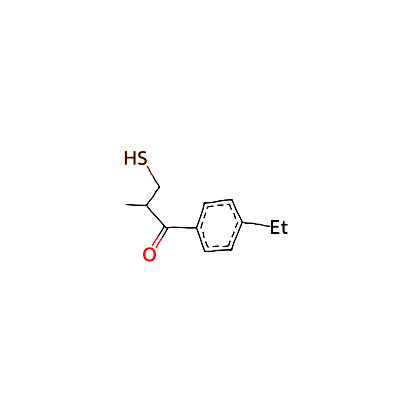 CCc1ccc(C(=O)C(C)CS)cc1